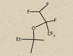 CCC(C)(C)OC(F)(C(F)F)C(F)(F)F